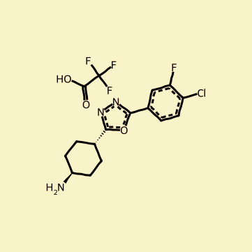 N[C@H]1CC[C@H](c2nnc(-c3ccc(Cl)c(F)c3)o2)CC1.O=C(O)C(F)(F)F